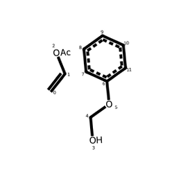 C=COC(C)=O.OCOc1ccccc1